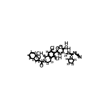 CC12C=CC=CC1C=C(C(=O)N1CCc3c(cc(Cl)c(C(=O)N[C@@H](CN/C(=N/C#N)N4CCCC4)C(=O)O)c3Cl)C1)O2